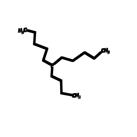 CCCCCP(CCCC)CCCCC